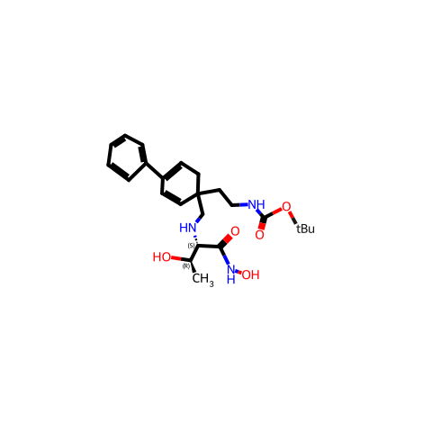 C[C@@H](O)[C@H](NCC1(CCNC(=O)OC(C)(C)C)C=CC(c2ccccc2)=CC1)C(=O)NO